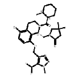 C[C@H]1CCCC[C@H]1C(=O)N1CCc2c(Cl)ccc(OCc3nnn(C)c3C(F)F)c2[C@H]1CN1CC(C)(C)CC1=O